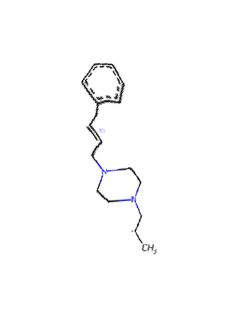 C[CH]CN1CCN(C/C=C/c2ccccc2)CC1